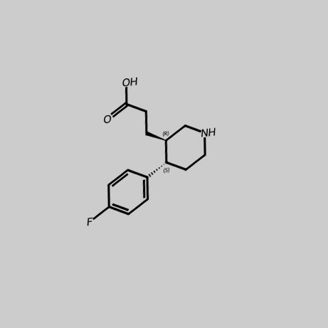 O=C(O)CC[C@H]1CNCC[C@@H]1c1ccc(F)cc1